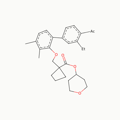 CCc1cc(-c2ccc(C)c(C)c2OCC2(C(=O)OC3CCOCC3)CCC2)ccc1C(C)=O